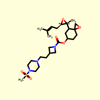 CC(C)=CC[C@H]1O[C@]1(C)C1CC(OC(=O)N2CC(CCN3CCN(S(C)(=O)=O)CC3)C2)CCC12CO2